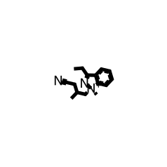 CCC1=N[N+](C)(CC(C)CC#N)c2ccccc21